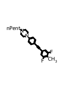 CCCCCN1CCN(c2ccc(C#Cc3cc(F)c(C)c(F)c3)cc2)CC1